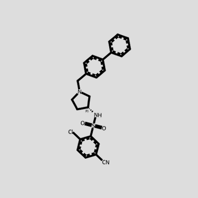 N#Cc1ccc(Cl)c(S(=O)(=O)N[C@@H]2CCN(Cc3ccc(-c4ccccc4)cc3)C2)c1